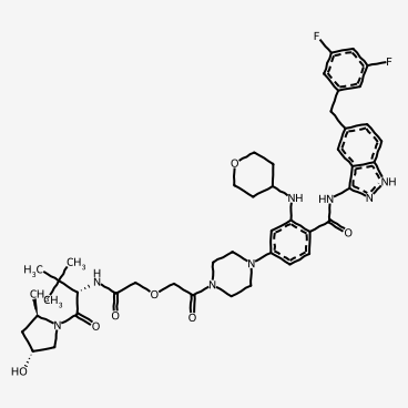 C[C@@H]1C[C@@H](O)CN1C(=O)[C@@H](NC(=O)COCC(=O)N1CCN(c2ccc(C(=O)Nc3n[nH]c4ccc(Cc5cc(F)cc(F)c5)cc34)c(NC3CCOCC3)c2)CC1)C(C)(C)C